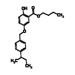 CCCCOC(=O)c1cc(OCc2ccc(C(C)CC)cc2)ccc1O